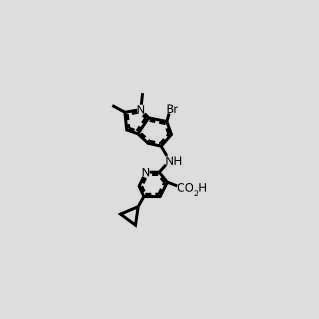 Cc1cc2cc(Nc3ncc(C4CC4)cc3C(=O)O)cc(Br)c2n1C